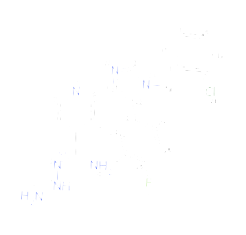 NN/N=C(\N)c1ccnc(-c2ncn(Cc3ccccc3Cl)c2-c2ccc(F)cc2)c1